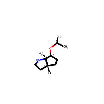 CC(C)O[C@H]1CC[C@@H]2CCN[C@@]21C